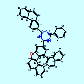 c1ccc(-c2nc(-c3ccc4c(ccc5ccccc54)c3)nc(-c3cc(-c4cccc5ccccc45)c4c(c3)oc3ccc5ccccc5c34)n2)cc1